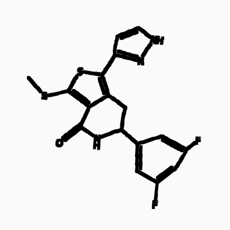 CSc1sc(-c2cc[nH]n2)c2c1C(=O)NC(c1cc(F)cc(F)c1)C2